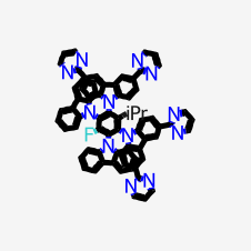 CC(C)c1c(-n2c3ccc(-c4ncccn4)cc3c3cc(-c4ncccn4)ccc32)c(-n2c3ccccc3c3ccccc32)c(F)c(-n2c3ccccc3c3ccccc32)c1-n1c2ccc(-c3ncccn3)cc2c2cc(-c3ncccn3)ccc21